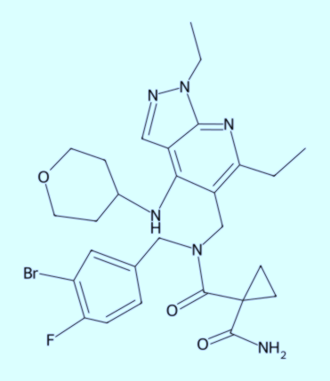 CCc1nc2c(cnn2CC)c(NC2CCOCC2)c1CN(Cc1ccc(F)c(Br)c1)C(=O)C1(C(N)=O)CC1